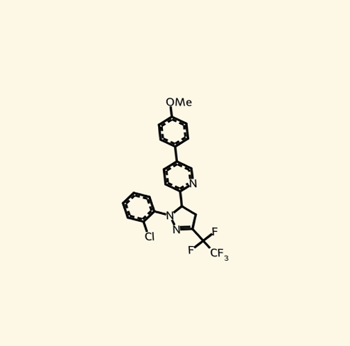 COc1ccc(-c2ccc(C3CC(C(F)(F)C(F)(F)F)=NN3c3ccccc3Cl)nc2)cc1